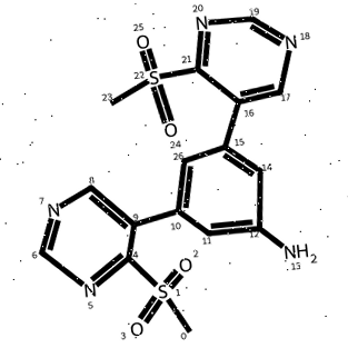 CS(=O)(=O)c1ncncc1-c1cc(N)cc(-c2cncnc2S(C)(=O)=O)c1